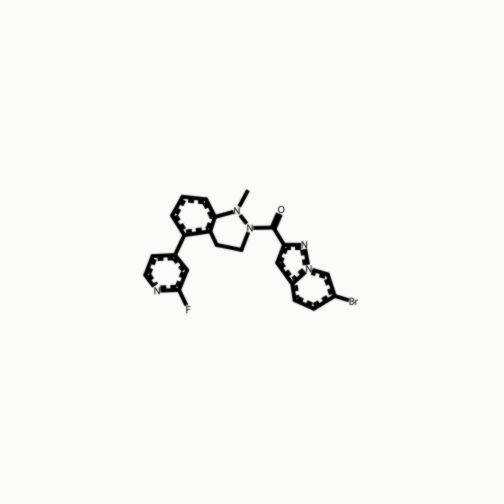 CN1c2cccc(-c3ccnc(F)c3)c2CCN1C(=O)c1cc2ccc(Br)cn2n1